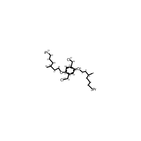 CC(C)CCCC(C)CCOc1cc(CCl)c(OCCC(C)CCCC(C)C)cc1CCl